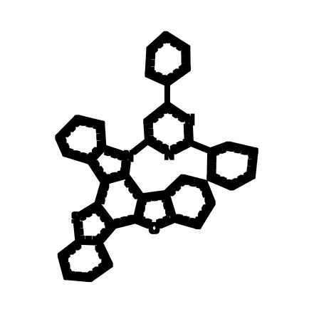 c1ccc(-c2cc(-n3c4ccccc4c4c5sc6ccccc6c5c5oc6ccccc6c5c43)nc(-c3ccccc3)n2)cc1